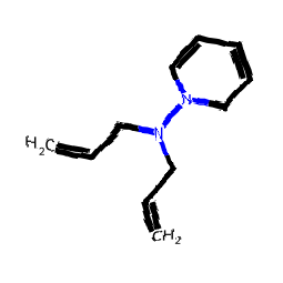 C=CCN(CC=C)N1C=CC=CC1